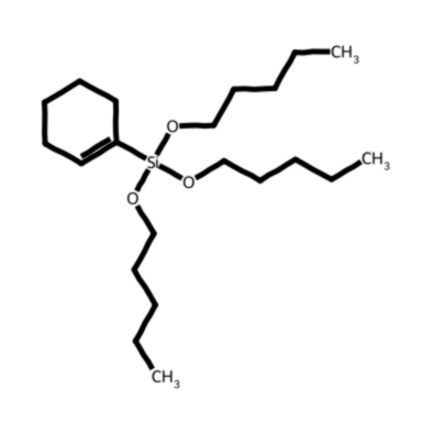 CCCCCO[Si](OCCCCC)(OCCCCC)C1=CCCCC1